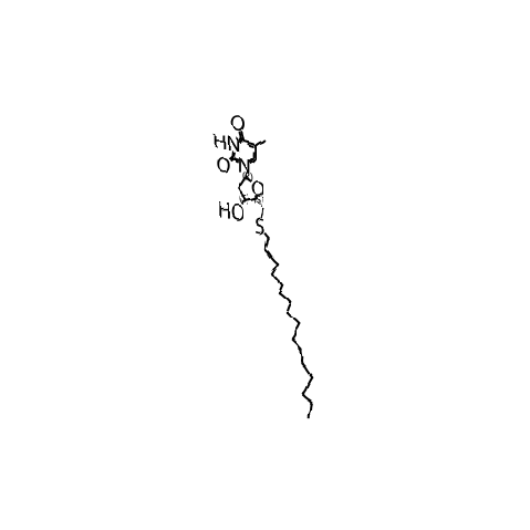 CCCCCCCCCCCCCCCCSC[C@H]1O[C@@H](n2cc(C)c(=O)[nH]c2=O)C[C@@H]1O